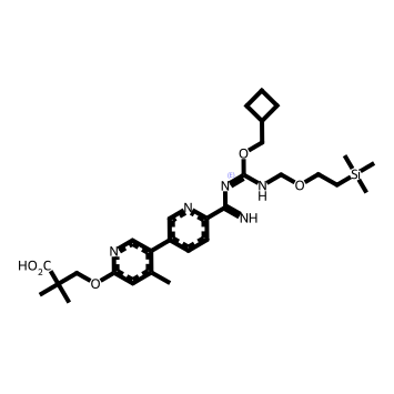 Cc1cc(OCC(C)(C)C(=O)O)ncc1-c1ccc(C(=N)/N=C(\NCOCC[Si](C)(C)C)OCC2CCC2)nc1